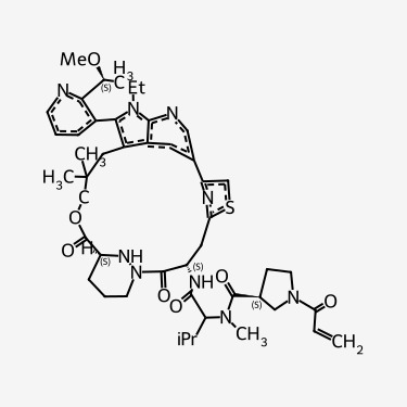 C=CC(=O)N1CC[C@H](C(=O)N(C)C(C(=O)N[C@H]2Cc3nc(cs3)-c3cnc4c(c3)c(c(-c3cccnc3[C@H](C)OC)n4CC)CC(C)(C)COC(=O)[C@@H]3CCCN(N3)C2=O)C(C)C)C1